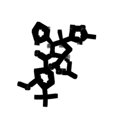 COc1cc(C(=O)N2[C@@H](c3nccs3)[C@](C)(c3noc(C)n3)C[C@@]2(CC(C)C)C(=O)O)ccc1C(C)(C)C